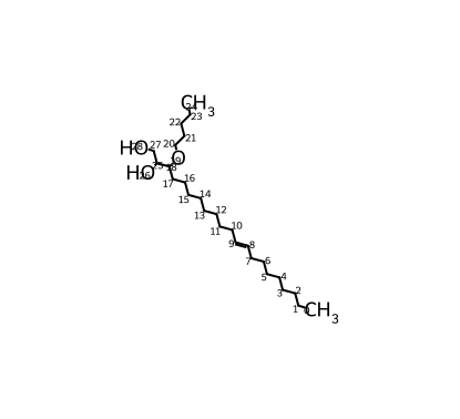 CCCCCCCCC=CCCCCCCCCC(OCCCCC)C(O)CO